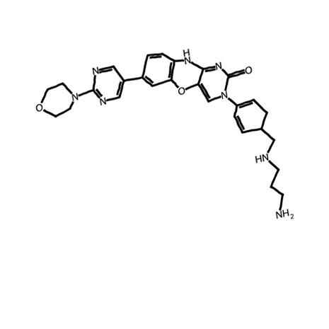 NCCCNCC1C=CC(n2cc3c(nc2=O)Nc2ccc(-c4cnc(N5CCOCC5)nc4)cc2O3)=CC1